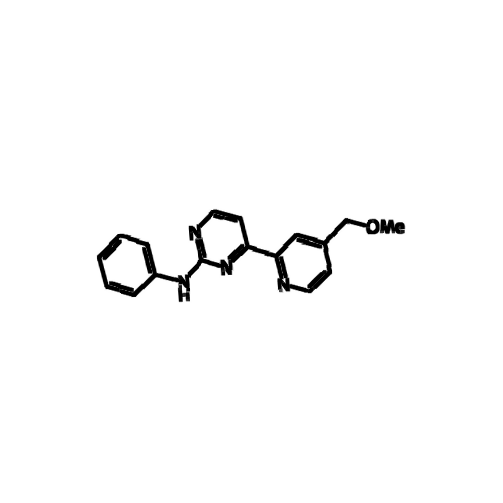 COCc1ccnc(-c2ccnc(Nc3ccccc3)n2)c1